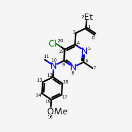 C=C(CC)Cc1nc(C)nc(N(C)c2ccc(OC)cc2)c1Cl